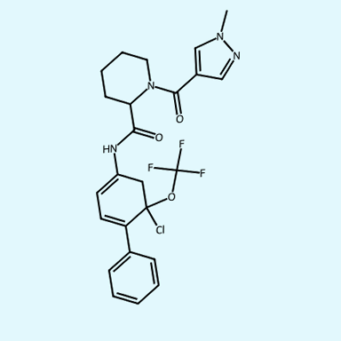 Cn1cc(C(=O)N2CCCCC2C(=O)NC2=CC=C(c3ccccc3)C(Cl)(OC(F)(F)F)C2)cn1